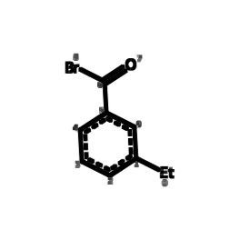 CCc1cccc(C(=O)Br)c1